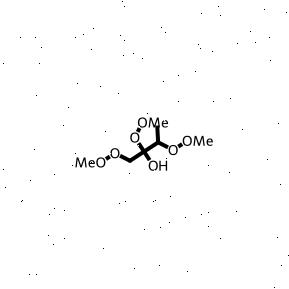 COOCC(O)(OOC)C(C)OOC